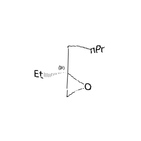 CCCC[C@]1(CC)CO1